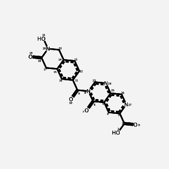 O=C(O)c1cc2c(=O)n(C(=O)c3ccc4c(c3)CC(=O)N(O)C4)cnc2cn1